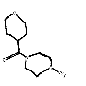 [CH2]N1CCN(C(=O)C2CCOCC2)CC1